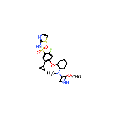 CN(C1CNC1OC=O)[C@H]1CCCC[C@@H]1Oc1cc(F)c(S(=O)(=O)Nc2nccs2)cc1C1CC1